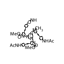 COC(=O)c1cc(C#Cc2ccc(COC=N)cc2)cc(CN2CCN(Cc3cc(C#Cc4ccc(NC(C)=O)cc4)cc(C)n3)CCN(Cc3cc(C#Cc4ccc(NC(C)=O)cc4)cc(C(=O)OC)n3)CC2)n1